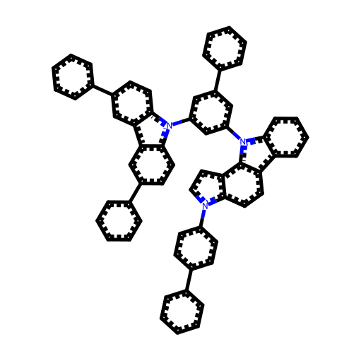 c1ccc(-c2ccc(-n3ccc4c3ccc3c5ccccc5n(-c5cc(-c6ccccc6)cc(-n6c7ccc(-c8ccccc8)cc7c7cc(-c8ccccc8)ccc76)c5)c34)cc2)cc1